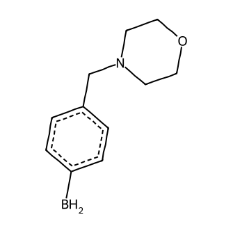 Bc1ccc(CN2CCOCC2)cc1